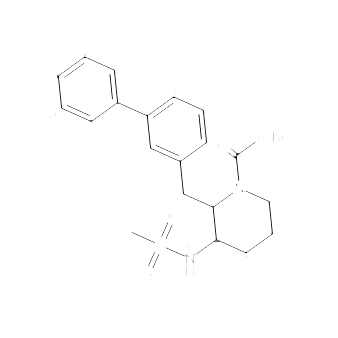 CC(C)COC(=O)N1CCCC(NS(C)(=O)=O)C1Cc1cccc(-c2ccccc2)c1